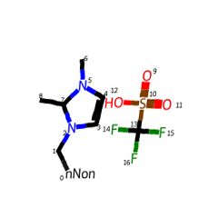 CCCCCCCCCCN1C=CN(C)C1C.O=S(=O)(O)C(F)(F)F